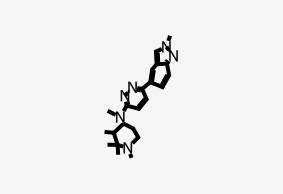 CC1C(N(C)c2ccc(-c3ccc4nn(C)cc4c3)nn2)CCN(C)C1(C)C